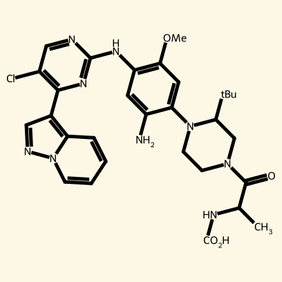 COc1cc(N2CCN(C(=O)C(C)NC(=O)O)CC2C(C)(C)C)c(N)cc1Nc1ncc(Cl)c(-c2cnn3ccccc23)n1